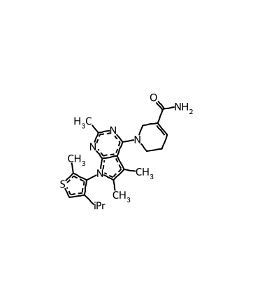 Cc1nc(N2CCC=C(C(N)=O)C2)c2c(C)c(C)n(-c3c(C(C)C)csc3C)c2n1